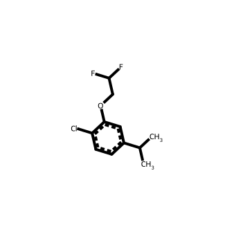 CC(C)c1ccc(Cl)c(OCC(F)F)c1